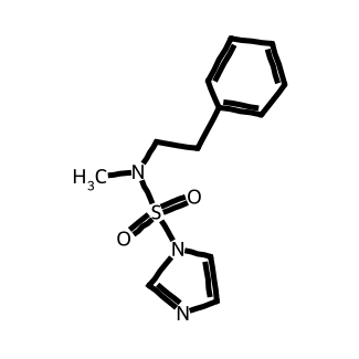 CN(CCc1ccccc1)S(=O)(=O)n1ccnc1